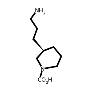 NCCC[C@H]1CCCN(C(=O)O)C1